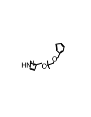 CC(C)(COCc1ccccc1)OCc1cc[nH]n1